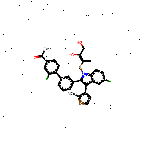 COC(=O)c1ccc(-c2cccc(-c3c(-c4ccsc4C#N)c4cc(F)ccc4n3S/C(C)=C(\O)CO)c2)c(Cl)c1